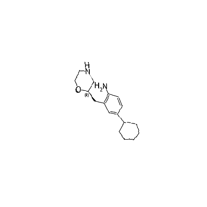 Nc1ccc(C2CCCCC2)cc1C[C@@H]1CNCCO1